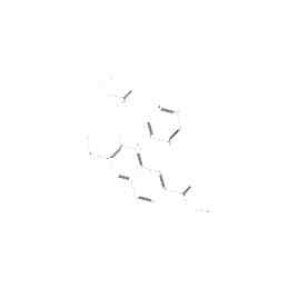 COC(=O)c1ccc2nc(CC(C)C)c(CNC(=O)OC(C)(C)C)c(-c3ccc(C)cc3)c2c1